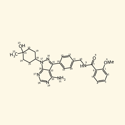 COc1ccccc1C(=O)NCc1ccc(-c2nn(C3CCC(C)(O)CC3)c3ncnc(N)c23)cc1